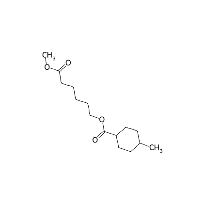 COC(=O)CCCCCOC(=O)C1CCC(C)CC1